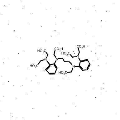 O=C(O)CN(CCCN(CC(=O)O)c1ccccc1N(CC(=O)O)CC(=O)O)c1ccccc1N(CC(=O)O)CC(=O)O